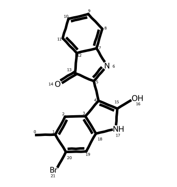 Cc1cc2c(C3=Nc4ccccc4C3=O)c(O)[nH]c2cc1Br